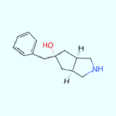 O[C@]1(Cc2ccccc2)C[C@H]2CNC[C@H]2C1